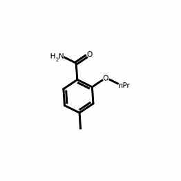 CCCOc1cc(C)ccc1C(N)=O